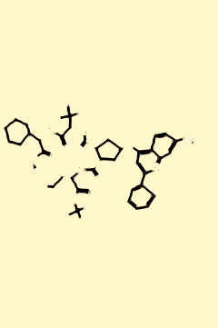 CCC[C@H](NC(=O)[C@@H]1C[C@@H](Oc2cc(-c3ccccc3)nc3cc(OC)ccc23)C[C@H]1C(=O)N[C@H](C(=O)N[C@H](C(=O)OC)C1CCCCC1)C(C)(C)C)C(=O)OC(C)(C)C